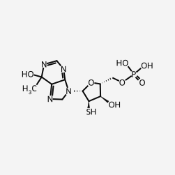 CC1(O)N=CN=C2C1=NCN2[C@@H]1O[C@H](COP(=O)(O)O)[C@@H](O)[C@H]1S